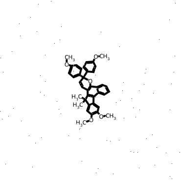 COc1ccc(C2(c3ccc(OC)cc3)C=Cc3c4c(c5ccccc5c3O2)-c2cc(OC)c(OC)cc2C4(C)C)cc1